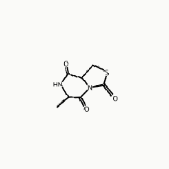 CC1NC(=O)C2CSC(=O)N2C1=O